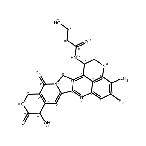 Cc1c(F)cc2nc3c(c4c2c1SCC4NC(=O)CCO)Cn1c-3cc2c(c1=O)COC(=O)C2O